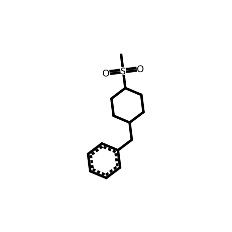 CS(=O)(=O)C1CCC(Cc2ccccc2)CC1